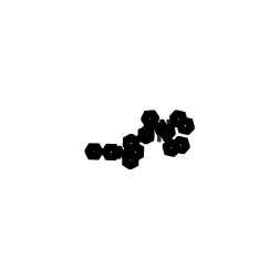 c1ccc(-c2ccc(-n3c4cccc5ccc6c(-c7ccc8c(c7)c7ccccc7n8-c7nc(-c8cccc9ccccc89)cc(-c8cccc9ccccc89)n7)ccc3c6c54)cc2)cc1